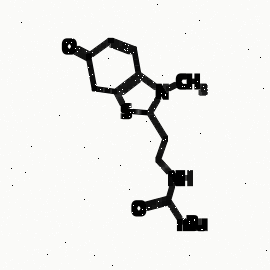 CCCCC(=O)NCCC1SC2=C(C=CC(=O)C2)N1C